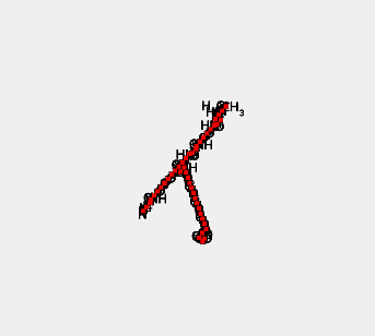 CC(C)=NNc1ccc(C(=O)NCCOCCOCCNC(=O)CCC(=O)NCCCCC(NC(=O)CCOCCOCCOCCOCCOCCOCCOCCC(=O)ON2C(=O)CCC2=O)C(=O)NCCCOCCOCCOCCCNC(=O)CCCN=[N+]=[N-])cn1